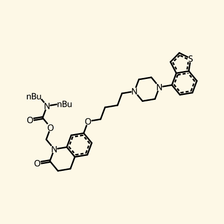 CCCCN(CCCC)C(=O)OCN1C(=O)CCc2ccc(OCCCCN3CCN(c4cccc5sccc45)CC3)cc21